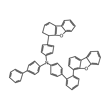 C1=Cc2c(oc3ccccc23)C(c2ccc(N(c3ccc(-c4ccccc4)cc3)c3ccc(-c4ccccc4-c4cccc5c4oc4ccccc45)cc3)cc2)C1